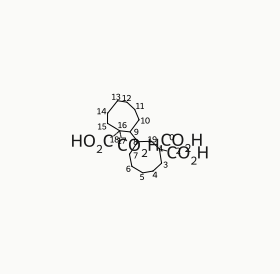 O=C(O)C1(C(=O)O)CCCCCC(C2CCCCCCC2(C(=O)O)C(=O)O)C1